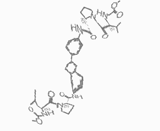 COC(=O)N[C@H](C(=O)N1CCC[C@H]1C(=O)Nc1ccc(-c2ccc3cc(NC(=O)[C@@H]4CCCN4C(=O)[C@@H](NC(=O)OC)C(C)C)ccc3c2)cc1)C(C)C